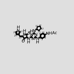 CC(=O)Nc1ccc(Nc2nc(NC3CCCC3)nc(NC3C(=O)/C(=C/c4cc[nH]c4)NC3=S)n2)cc1